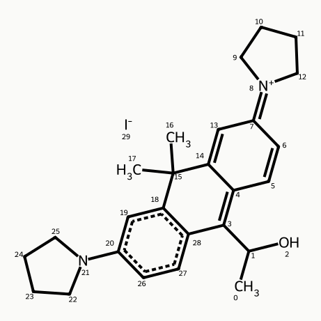 CC(O)C1=C2C=CC(=[N+]3CCCC3)C=C2C(C)(C)c2cc(N3CCCC3)ccc21.[I-]